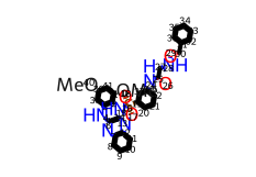 COc1cc(Nc2nc3ccccc3nc2NS(=O)(=O)c2cccc(NC(=O)CNOCc3ccccc3)c2)cc(OC)c1